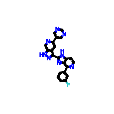 Fc1cccc(-c2nccc3[nH]c(-c4n[nH]c5cnc(-c6cncnc6)cc45)nc23)c1